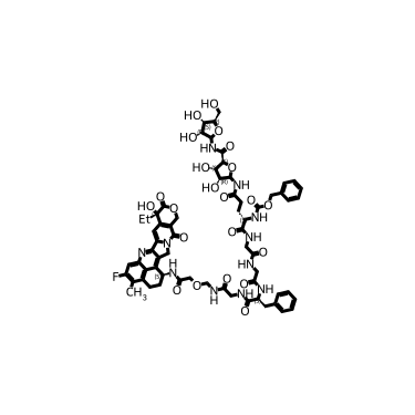 CC[C@@]1(O)C(=O)OCc2c1cc1n(c2=O)Cc2c-1nc1cc(F)c(C)c3c1c2[C@@H](NC(=O)COCNC(=O)CNC(=O)[C@H](Cc1ccccc1)NC(=O)CNC(=O)CNC(=O)[C@H](CCC(=O)NC1O[C@H](C(=O)NC2O[C@H](CO)[C@@H](O)[C@H]2O)[C@@H](O)[C@H]1O)NC(=O)OCc1ccccc1)CC3